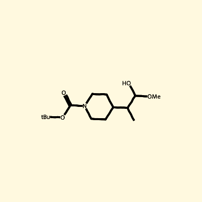 COC(O)C(C)C1CCN(C(=O)OC(C)(C)C)CC1